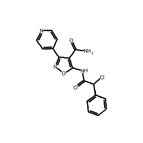 NC(=O)c1c(-c2ccncc2)noc1NC(=O)C(Cl)c1ccccc1